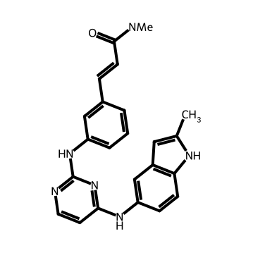 CNC(=O)C=Cc1cccc(Nc2nccc(Nc3ccc4[nH]c(C)cc4c3)n2)c1